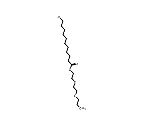 COCCOCCOCCOC(=O)CCCCCCCCCCS